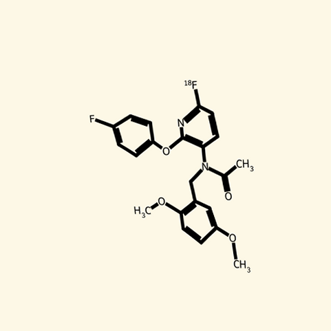 COc1ccc(OC)c(CN(C(C)=O)c2ccc([18F])nc2Oc2ccc(F)cc2)c1